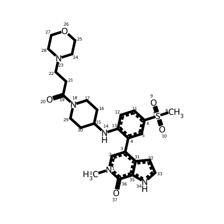 Cn1cc(-c2cc(S(C)(=O)=O)ccc2NC2CCN(C(=O)CCN3CCOCC3)CC2)c2cc[nH]c2c1=O